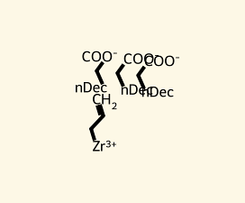 C=C[CH2][Zr+3].CCCCCCCCCCCC(=O)[O-].CCCCCCCCCCCC(=O)[O-].CCCCCCCCCCCC(=O)[O-]